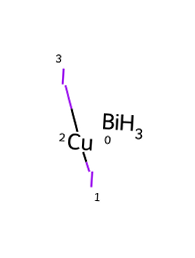 [BiH3].[I][Cu][I]